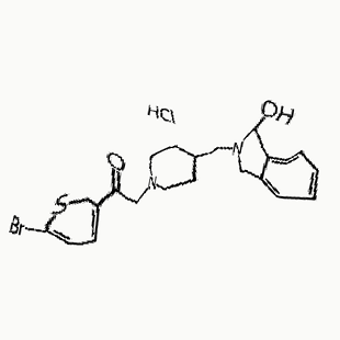 Cl.O=C(CN1CCC(CN2Cc3ccccc3C2O)CC1)c1ccc(Br)s1